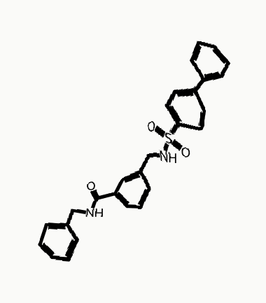 O=C(NCc1ccccc1)c1cccc(CNS(=O)(=O)c2ccc(-c3ccccc3)cc2)c1